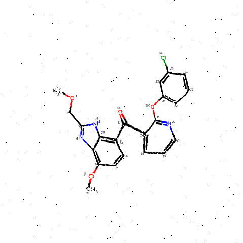 COCc1nc2c(OC)ccc(C(=O)c3cccnc3Oc3cccc(Cl)c3)c2[nH]1